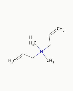 C=CC[N+](C)(C)CC=C.[H]